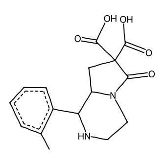 Cc1ccccc1C1NCCN2C(=O)C(C(=O)O)(C(=O)O)CC12